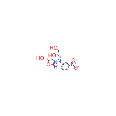 O=[N+]([O-])c1cccc(N(CC(O)CO)NCC(O)CO)c1